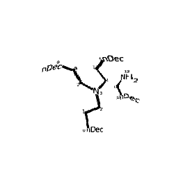 CCCCCCCCCCCCN(CCCCCCCCCCCC)CCCCCCCCCCCC.CCCCCCCCCCCN